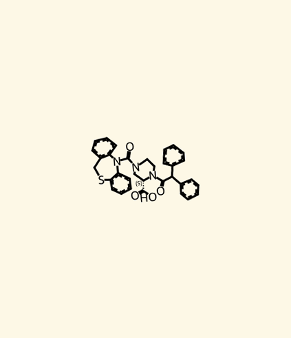 O=C(O)[C@@H]1CN(C(=O)N2c3ccccc3CSc3ccccc32)CCN1C(=O)C(c1ccccc1)c1ccccc1